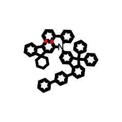 c1ccc(-c2ccc(-c3cccc4c3-c3ccc(N(c5ccc6c(c5)C5(CCCCC5)c5ccccc5-6)c5ccccc5-c5ccccc5)cc3C4(c3ccccc3)c3ccccc3)cc2)cc1